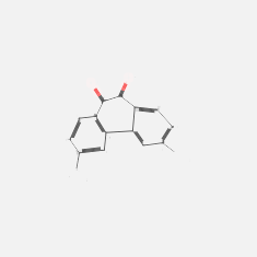 O=C1C(=O)c2ccc(C(F)(F)F)cc2-c2cc(C(F)(F)F)ccc21